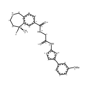 COc1cccc(-c2csc(NC(=O)CNC(=O)c3ccc4c(c3)[C@](C)(F)CCOC4)n2)c1